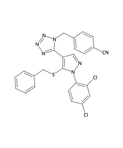 N#Cc1ccc(Cn2nnnc2-c2cnn(-c3ccc(Cl)cc3Cl)c2SCc2ccccc2)cc1